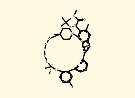 COC(=O)[C@@H](OC(C)(C)C)c1c(C)cc2nc3c(Br)n2c1N1CCC(C)(CC1)OCCCC[C@H](C)Oc1ccc(F)cc1-c1cccc-3c1